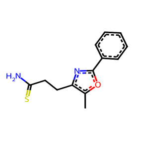 Cc1oc(-c2ccccc2)nc1CCC(N)=S